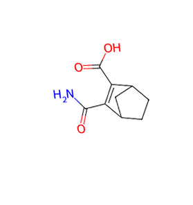 NC(=O)C1=C(C(=O)O)C2CCC1C2